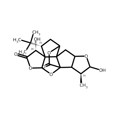 C[C@@H]1C(O)OC2CC34C5C[C@@H](C(C)(C)C)C36C(OC(=O)[C@@H]6O)OC4(C(=O)O5)C21